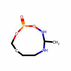 CC1NCCCCO[P](=O)ON1